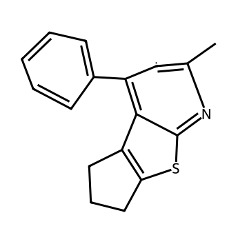 Cc1[c]c(-c2ccccc2)c2c3c(sc2n1)CCC3